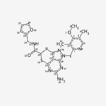 COc1c(C)cnc(Cn2nc3c4c(nc(N)nc42)SC(C(=O)NCc2ccco2)C3)c1C